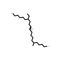 [CH2]CCCCCC(CC)CC/C=C/CCCCC(C)CCCC[CH2]